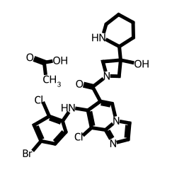 CC(=O)O.O=C(c1cn2ccnc2c(Cl)c1Nc1ccc(Br)cc1Cl)N1CC(O)(C2CCCCN2)C1